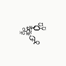 CC(=O)N1CCC(c2nc(Nc3ccc(Cl)c(Cl)c3)c(C)c(C(=O)O)n2)CC1